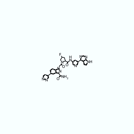 NC(=O)c1nn(CC(=O)N2CC(F)CC2C(=O)Nc2cncc(-c3ncnc4[nH]ccc34)c2)c2ccc(-c3ccnnc3)cc12